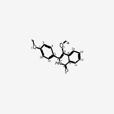 COc1ccc(-c2[nH]c(=O)c3ccccc3c2OC)cc1